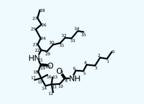 CCCCCCCNC(=O)CC(C)(C)CC(C)(C)CC(=O)NC(CCCCCC)CCCCCCC